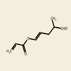 C=CC(=O)OC=CCC(C)C=O